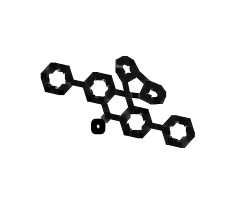 O=C1c2cc(-c3ccccc3)ccc2C2(c3cc(-c4ccccc4)ccc31)c1ccccc1-c1ccccc12